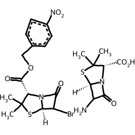 CC1(C)S[C@@H]2C(Br)C(=O)N2[C@H]1C(=O)OCc1ccc([N+](=O)[O-])cc1.CC1(C)S[C@@H]2C(N)C(=O)N2[C@H]1C(=O)O